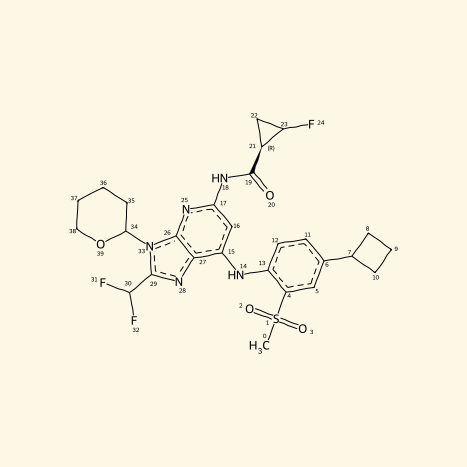 CS(=O)(=O)c1cc(C2CCC2)ccc1Nc1cc(NC(=O)[C@H]2CC2F)nc2c1nc(C(F)F)n2C1CCCCO1